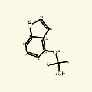 CC(C)(O)Oc1cccc2occc12